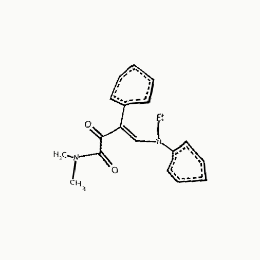 CCN(/C=C(/C(=O)C(=O)N(C)C)c1ccccc1)c1ccccc1